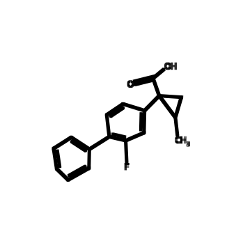 CC1CC1(C(=O)O)c1ccc(-c2ccccc2)c(F)c1